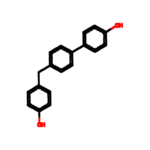 Oc1ccc(Cc2ccc(-c3ccc(O)cc3)cc2)cc1